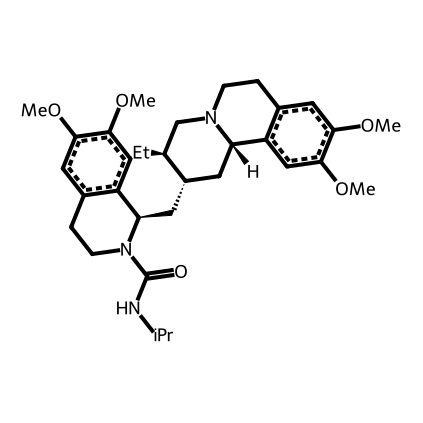 CC[C@H]1CN2CCc3cc(OC)c(OC)cc3[C@@H]2C[C@@H]1C[C@@H]1c2cc(OC)c(OC)cc2CCN1C(=O)NC(C)C